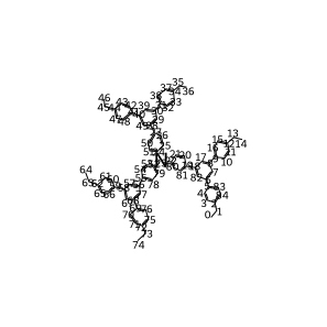 CCc1ccc(-c2cc(-c3ccc(CC)cc3)cc(-c3ccc(N(c4ccc(-c5cc(-c6ccc(CC)cc6)cc(-c6ccc(CC)cc6)c5)cc4)c4ccc(-c5cc(-c6ccc(CC)cc6)cc(-c6ccc(CC)cc6)c5)cc4)cc3)c2)cc1